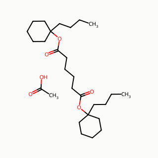 CC(=O)O.CCCCC1(OC(=O)CCCCC(=O)OC2(CCCC)CCCCC2)CCCCC1